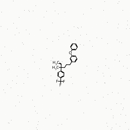 C=CC(C)(CCCc1cccc(Oc2ccccc2)c1)c1ccc(C(F)(F)F)cc1